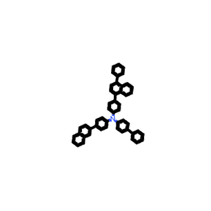 c1ccc(-c2ccc(N(c3ccc(-c4ccc5ccccc5c4)cc3)c3ccc(-c4ccc(-c5ccccc5)c5ccccc45)cc3)cc2)cc1